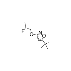 CC(F)COc1cc(C(C)(C)C)on1